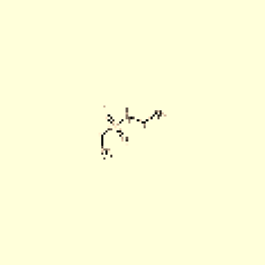 O=S(=O)(CC(F)(F)F)NCC(F)(F)F